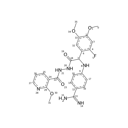 COc1cc(F)c(C(Nc2ccc(C(=N)N)cc2)C(=O)NNC(=O)c2cccnc2OC)cc1OC